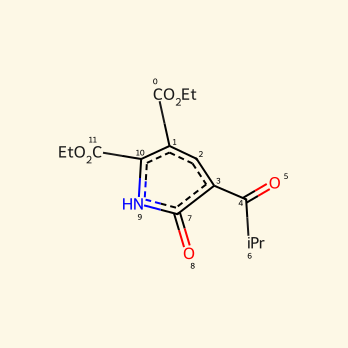 CCOC(=O)c1cc(C(=O)C(C)C)c(=O)[nH]c1C(=O)OCC